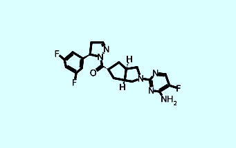 Nc1nc(N2C[C@H]3C[C@H](C(=O)N4N=CC[C@@H]4c4cc(F)cc(F)c4)C[C@H]3C2)ncc1F